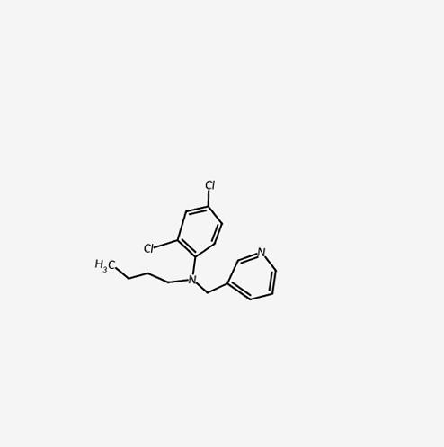 CCCCN(Cc1cccnc1)c1ccc(Cl)cc1Cl